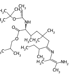 C/C=C(/N[C@H](C(=O)OCC(C)C)C(C)CC(C)(C)C/C(=N/C(C)=C(/C)N)C(C)CC)OC(C)(C)C